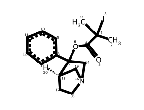 CC(C)(I)C(=O)OC1(c2ccccc2)CN2CC[C@@H]1C2